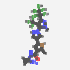 Cc1sc(-c2cnn(-c3c(C(F)(F)F)c(C(F)(F)C(F)(F)F)nn3C)c2)cc1C(=O)NC1(N)CC1